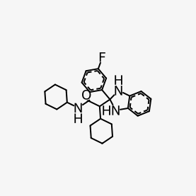 O=C(NC1CCCCC1)C(C1CCCCC1)C1(c2cccc(F)c2)Nc2ccccc2N1